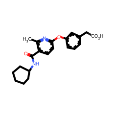 Cc1nc(Oc2cccc(CC(=O)O)c2)ccc1C(=O)NC1CCCCC1